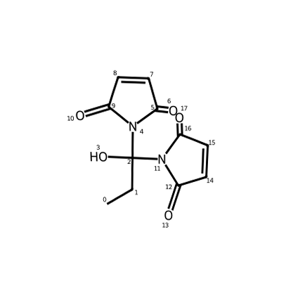 CCC(O)(N1C(=O)C=CC1=O)N1C(=O)C=CC1=O